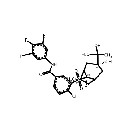 C[C@H]1CC2C[C@](O)(C(C)(C)O)CC1[C@@H]2S(=O)(=O)c1cc(C(=O)Nc2cc(F)c(F)c(F)c2)ccc1Cl